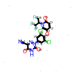 N#Cc1nn(-c2cc(Cl)c(Oc3ccc(=O)n(C(CF)C(F)F)c3)c(Cl)c2)c(=O)[nH]c1=O